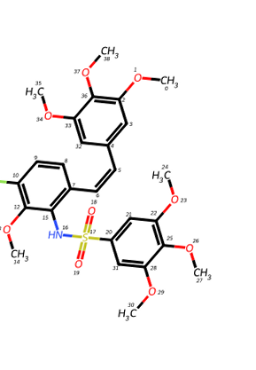 COc1cc(/C=C\c2ccc(F)c(OC)c2NS(=O)(=O)c2cc(OC)c(OC)c(OC)c2)cc(OC)c1OC